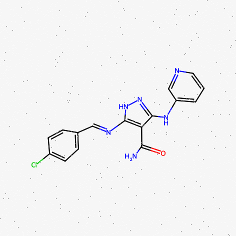 NC(=O)c1c(Nc2cccnc2)n[nH]c1/N=C/c1ccc(Cl)cc1